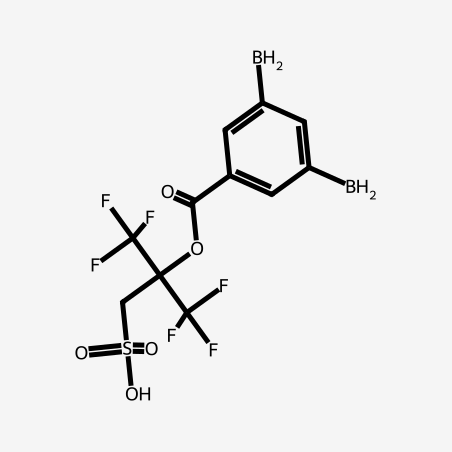 Bc1cc(B)cc(C(=O)OC(CS(=O)(=O)O)(C(F)(F)F)C(F)(F)F)c1